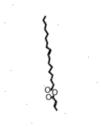 CC=CC(=O)OC(=O)CCCCCCCC=CCCCCCCCC